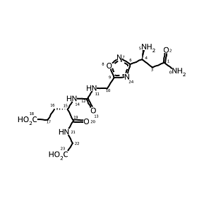 NC(=O)C[C@H](N)c1noc(CNC(=O)N[C@@H](CCC(=O)O)C(=O)NCC(=O)O)n1